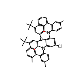 Cc1ccc(N2c3ccc(C(C)(C)C)cc3B3c4cc(C(C)(C)C)ccc4N(c4ccc(C)cc4-c4ccccc4C)c4cc(Cl)cc2c43)c(-c2ccccc2C)c1